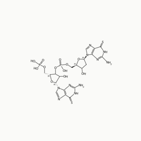 Nc1nc2c(ncn2[C@@H]2O[C@H](COP(=O)(O)O)C(OP(=O)(O)OC[C@H]3O[C@@H](n4cnc5c(=S)[nH]c(N)nc54)CC3O)C2O)c(=S)[nH]1